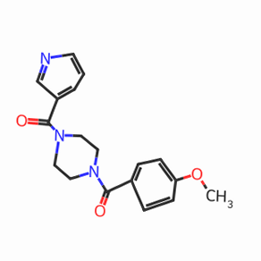 COc1ccc(C(=O)N2CCN(C(=O)c3cccnc3)CC2)cc1